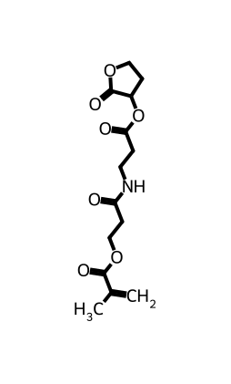 C=C(C)C(=O)OCCC(=O)NCCC(=O)OC1CCOC1=O